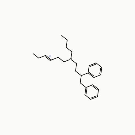 CC/C=C/CCN(CCCC)CCC(Cc1ccccc1)c1ccccc1